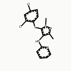 Cc1nn(C)c(Sc2ccc(Cl)cc2Cl)c1Nc1ccccn1